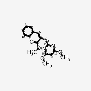 COC(=O)/C(=C\c1ccccc1)Sc1nc(OC)cc(OC)n1